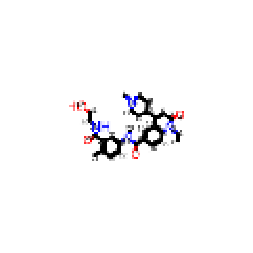 CCn1c(=O)cc(C2CCN(C)CC2)c2cc(C(=O)N(C)c3ccc(C)c(C(=O)NCCO)c3)ccc21